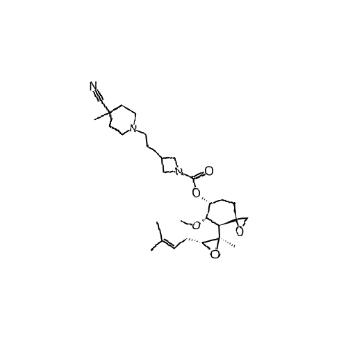 CO[C@@H]1[C@H](OC(=O)N2CC(CCN3CCC(C)(C#N)CC3)C2)CC[C@]2(CO2)[C@H]1[C@@]1(C)O[C@@H]1CC=C(C)C